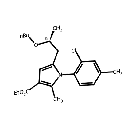 CCCCO[C@@H](C)Cc1cc(C(=O)OCC)c(C)n1-c1ccc(C)cc1Cl